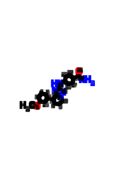 COc1cccc(-c2cccn3nc(Nc4ccc(C(N)=O)cc4)nc23)c1